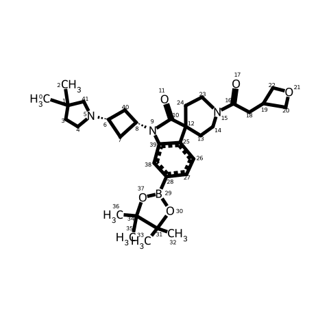 CC1(C)CCN([C@H]2C[C@@H](N3C(=O)C4(CCN(C(=O)CC5COC5)CC4)c4ccc(B5OC(C)(C)C(C)(C)O5)cc43)C2)C1